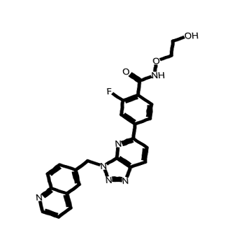 O=C(NOCCO)c1ccc(-c2ccc3nnn(Cc4ccc5ncccc5c4)c3n2)cc1F